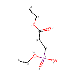 CCOC(=O)CCP(=O)(O)OCC